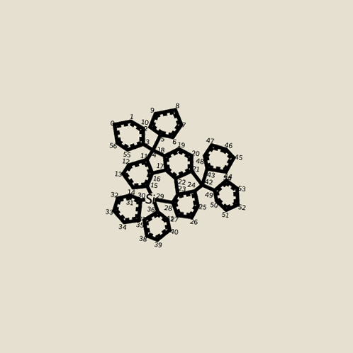 c1ccc(C2(c3ccccc3)c3cccc4c3-c3c2ccc2c3-c3c(cccc3[Si]4(c3ccccc3)c3ccccc3)C2(c2ccccc2)c2ccccc2)cc1